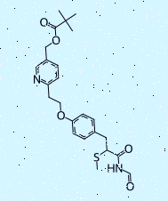 CSC(Cc1ccc(OCCc2ccc(COC(=O)C(C)(C)C)cn2)cc1)C(=O)NC=O